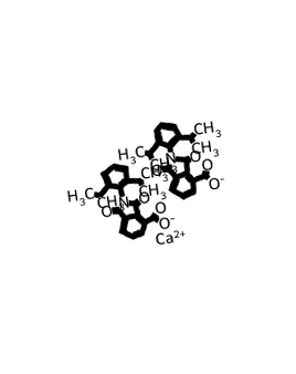 CC(C)c1cccc(C(C)C)c1N1C(=O)c2cccc(C(=O)[O-])c2C1=O.CC(C)c1cccc(C(C)C)c1N1C(=O)c2cccc(C(=O)[O-])c2C1=O.[Ca+2]